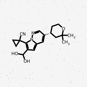 CC1(C)C[C@H](c2cnn3c(C4(C#N)CC4)c(C(O)O)cc3c2)CCO1